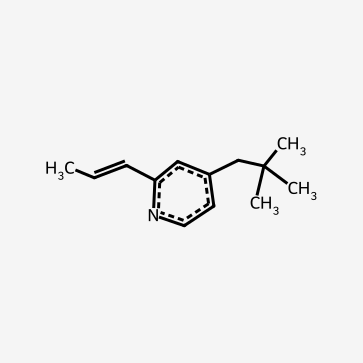 C/C=C/c1cc(CC(C)(C)C)ccn1